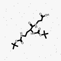 CC(C)(C)OC(=O)NCCC(NC(=O)OC(C)(C)C)C(=O)NCCC(=O)O